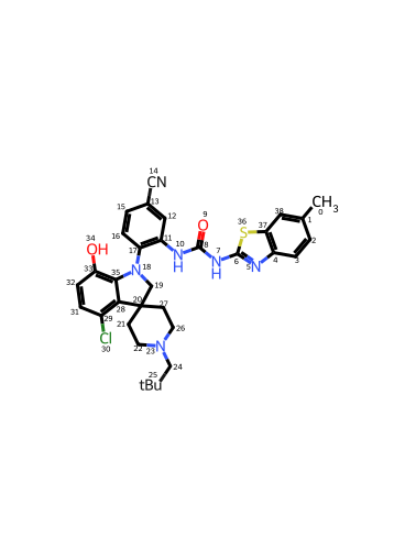 Cc1ccc2nc(NC(=O)Nc3cc(C#N)ccc3N3CC4(CCN(CC(C)(C)C)CC4)c4c(Cl)ccc(O)c43)sc2c1